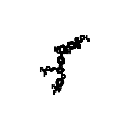 CCS(=O)(=O)c1ccc(C(CC#N)NC(=O)c2ccc(N3C[C@@H](Oc4ccc(C(F)(F)F)cc4)C[C@H]3CCOC(F)F)cc2)cc1